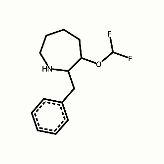 FC(F)OC1CCCCNC1Cc1ccccc1